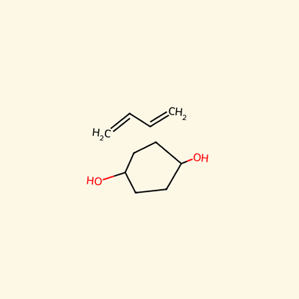 C=CC=C.OC1CCC(O)CC1